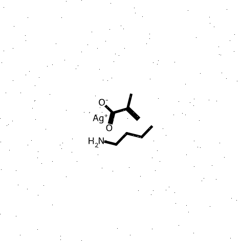 C=C(C)C(=O)[O-].CCCCN.[Ag+]